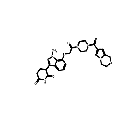 Cn1nc(C2CCC(=O)NC2=O)c2cccc(OCC(=O)N3CCN(C(=O)c4cc5n(n4)CCOC5)CC3)c21